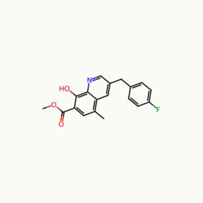 COC(=O)c1cc(C)c2cc(Cc3ccc(F)cc3)cnc2c1O